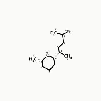 CCC(CCC(C)[C@@H]1CCC[C@H](C)O1)C(F)(F)F